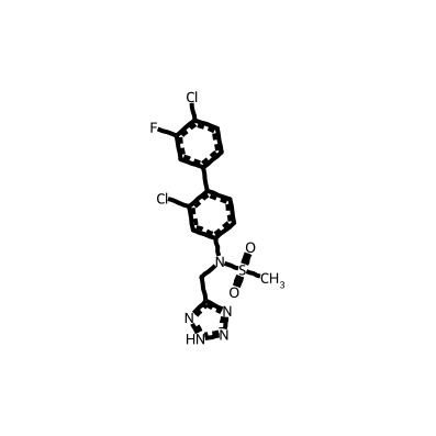 CS(=O)(=O)N(Cc1nn[nH]n1)c1ccc(-c2ccc(Cl)c(F)c2)c(Cl)c1